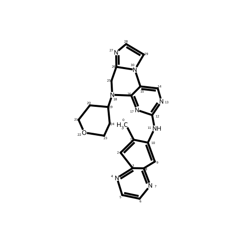 Cc1cc2nccnc2cc1Nc1ncc2c(n1)N(C1CCOCC1)Cc1nccn1-2